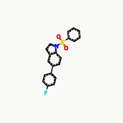 O=S(=O)(c1ccccc1)n1ccc2cc(-c3ccc(F)cc3)ccc21